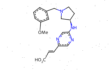 COc1cccc(CN2CC[C@@H](Nc3cnc(C=CC(=O)O)cn3)C2)c1